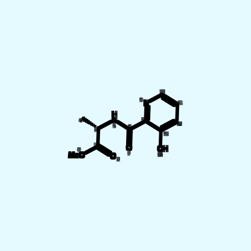 COC(=O)[C@H](C)NC(=O)c1ncccc1O